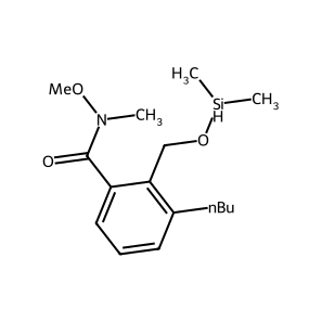 CCCCc1cccc(C(=O)N(C)OC)c1CO[SiH](C)C